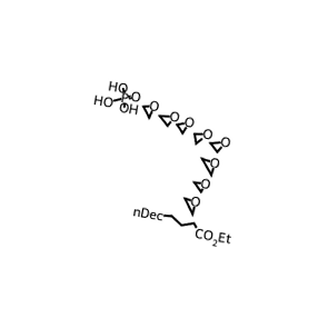 C1CO1.C1CO1.C1CO1.C1CO1.C1CO1.C1CO1.C1CO1.C1CO1.CCCCCCCCCCCCCC(=O)OCC.O=P(O)(O)O